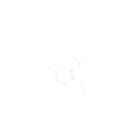 COc1ncc(Br)cc1C1(CO)COC1